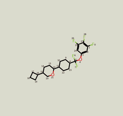 Fc1cc(OC(F)(F)C2CCC(C3CCC(C4CCC4)CO3)CC2)cc(F)c1F